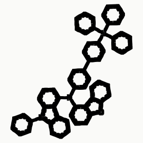 c1ccc(-n2c3ccccc3c3c(N(c4ccc(-c5ccc([Si](c6ccccc6)(c6ccccc6)c6ccccc6)cc5)cc4)c4cccc5oc6ccccc6c45)cccc32)cc1